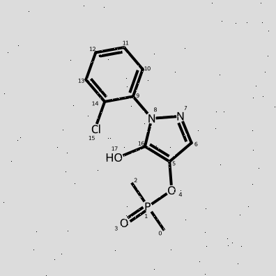 CP(C)(=O)Oc1cnn(-c2ccccc2Cl)c1O